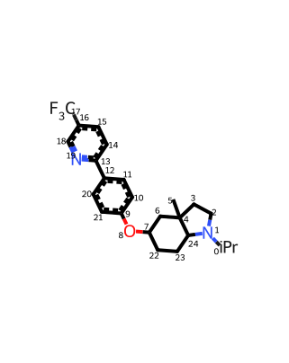 CC(C)N1CCC2(C)CC(Oc3ccc(-c4ccc(C(F)(F)F)cn4)cc3)CCC12